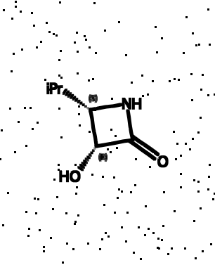 CC(C)[C@@H]1NC(=O)[C@@H]1O